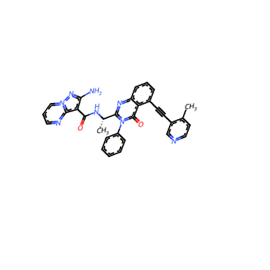 Cc1ccncc1C#Cc1cccc2nc([C@H](C)NC(=O)c3c(N)nn4cccnc34)n(-c3ccccc3)c(=O)c12